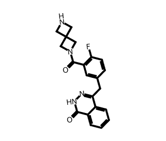 O=C(c1cc(Cc2n[nH]c(=O)c3ccccc23)ccc1F)N1CC2(CNC2)C1